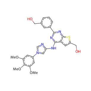 COc1cc(-n2cnc(Nc3nc(-c4cccc(CO)c4)nc4sc(CO)cc34)c2)cc(OC)c1OC